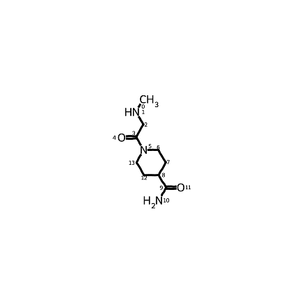 CNCC(=O)N1CCC(C(N)=O)CC1